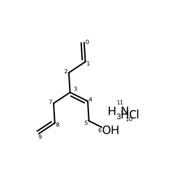 C=CCC(=CCO)CC=C.Cl.N